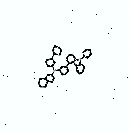 c1ccc(-c2cccc(N(c3cccc(-c4cccc5c4c4ccccc4n5-c4ccccc4)c3)c3ccc4ccccc4c3)c2)cc1